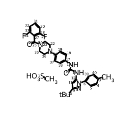 CS(=O)(=O)O.Cc1ccc(-n2nc(C(C)(C)C)cc2NC(=O)Nc2ccc(N3CCN(C(=O)c4c(F)cccc4F)CC3)cc2)cc1